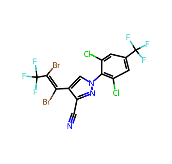 N#Cc1nn(-c2c(Cl)cc(C(F)(F)F)cc2Cl)cc1C(Br)=C(Br)C(F)(F)F